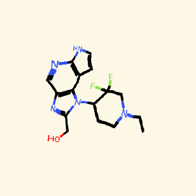 CCN1CCC(n2c(CO)nc3cnc4[nH]ccc4c32)C(F)(F)C1